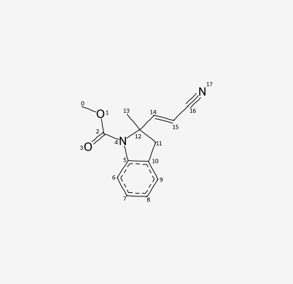 COC(=O)N1c2ccccc2CC1(C)C=CC#N